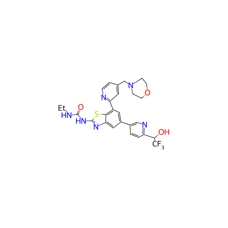 CCNC(=O)Nc1nc2cc(-c3ccc(C(O)C(F)(F)F)nc3)cc(-c3cc(CN4CCOCC4)ccn3)c2s1